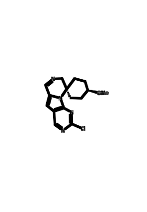 CO[C@H]1CC[C@@]2(CC1)CN=Cc1cc3cnc(Cl)nc3n12